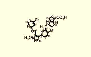 CCc1cc(OCc2c(-c3ccc(O[C@@H]4C[C@H]5CC[C@@H](C(=O)O)[C@H]5C4)c(C)n3)nnn2C)ncn1